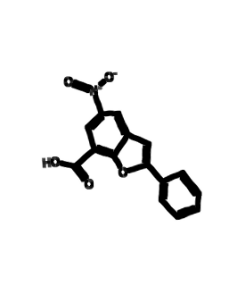 O=C(O)c1cc([N+](=O)[O-])cc2cc(-c3ccccc3)oc12